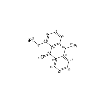 CC(C)Cc1ccccc1C(=O)c1ccccc1CC(C)C